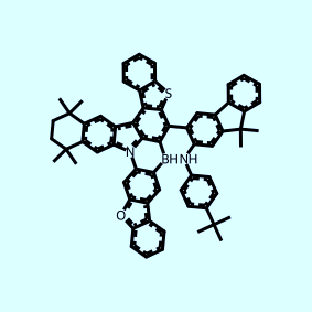 CC(C)(C)c1ccc(Nc2cc3c(cc2-c2c4c5c(c6cc7c(cc6n5-c5cc6oc8ccccc8c6cc5B4)C(C)(C)CCC7(C)C)c4c2sc2ccccc24)-c2ccccc2C3(C)C)cc1